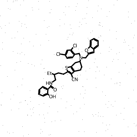 CCC(CCc1sc2c(c1C#N)CCC(N(Cc1cc3ccccc3o1)Cc1ccc(Cl)cc1Cl)C2)CNC(=O)c1ccccc1O